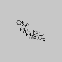 COc1cc(C)c(S(=O)(=O)NC(=N)NCCC[C@H](NCl)C(=O)c2nc3ccccc3s2)c(C)c1C